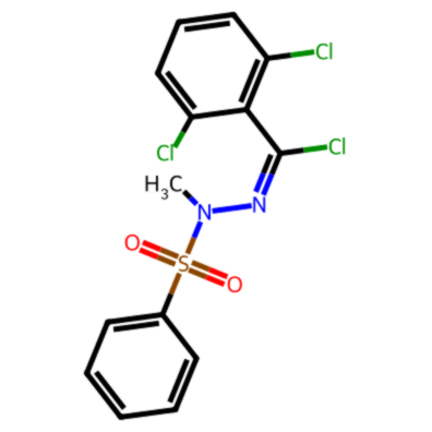 CN(/N=C(/Cl)c1c(Cl)cccc1Cl)S(=O)(=O)c1ccccc1